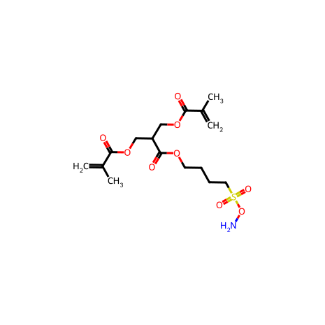 C=C(C)C(=O)OCC(COC(=O)C(=C)C)C(=O)OCCCCS(=O)(=O)ON